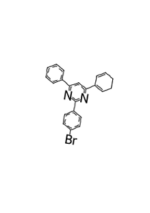 Brc1ccc(-c2nc(C3=CCCC=C3)cc(-c3ccccc3)n2)cc1